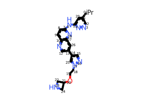 CC(C)c1cnnc(Nc2ccc3ncc(-c4cnn(CCOC5CNC5)c4)cc3n2)c1